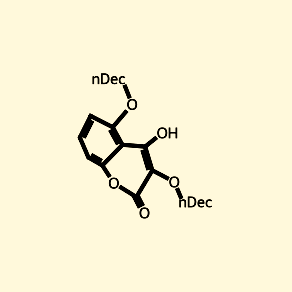 CCCCCCCCCCOc1c(O)c2c(OCCCCCCCCCC)cccc2oc1=O